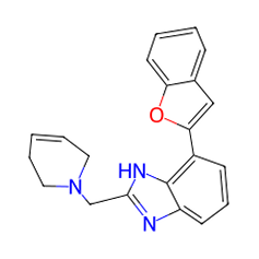 C1=CCN(Cc2nc3cccc(-c4cc5ccccc5o4)c3[nH]2)CC1